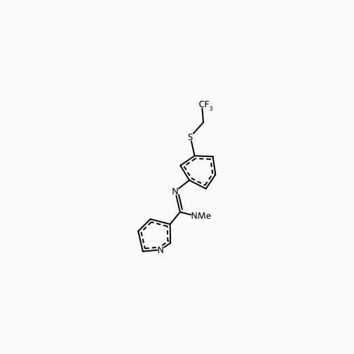 CN/C(=N\c1cccc(SCC(F)(F)F)c1)c1cccnc1